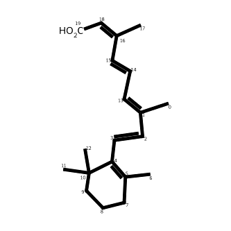 CC(C=CC1=C(C)CCCC1(C)C)=CC=C/C(C)=C\C(=O)O